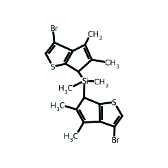 CC1=C(C)C([Si](C)(C)C2C(C)=C(C)c3c(Br)csc32)c2scc(Br)c21